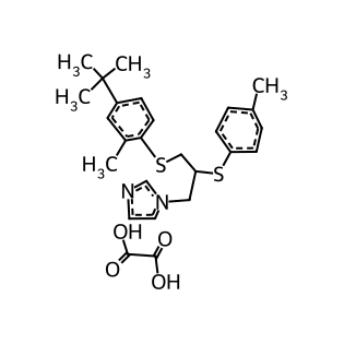 Cc1ccc(SC(CSc2ccc(C(C)(C)C)cc2C)Cn2ccnc2)cc1.O=C(O)C(=O)O